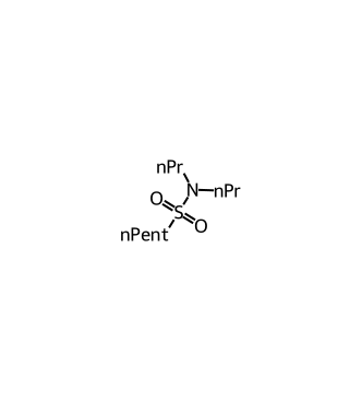 [CH2]CCN(CCC)S(=O)(=O)CCCCC